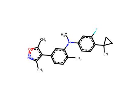 Cc1ccc(-c2c(C)noc2C)cc1N(C)c1ccc(C2(C#N)CC2)c(F)c1